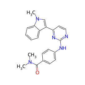 CN(C)C(=O)c1ccc(Nc2nccc(-c3cn(C)c4ccccc34)n2)cc1